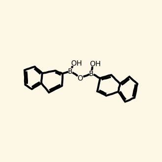 OB(OB(O)c1ccc2ccccc2c1)c1ccc2ccccc2c1